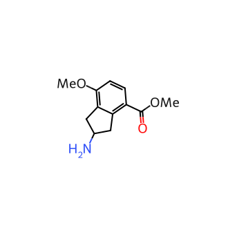 COC(=O)c1ccc(OC)c2c1CC(N)C2